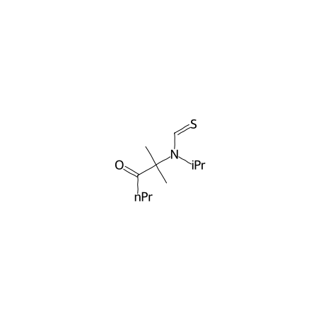 CCCC(=O)C(C)(C)N(C=S)C(C)C